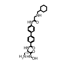 NC[C@H](NC(=O)c1ccc(-c2ccc(NC(=O)CNCC3CCCCC3)cc2)cc1)C(=O)NO